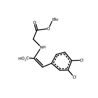 CC(C)(C)OC(=O)CNC(=Cc1ccc(Cl)c(Cl)c1)C(=O)O